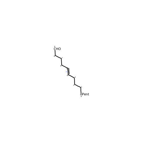 CCCCCCCC/C=C/CCCC=O